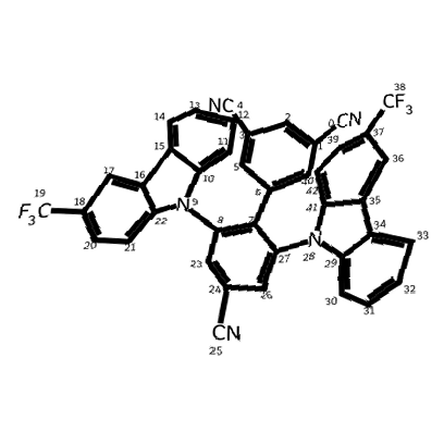 N#Cc1cc(C#N)cc(-c2c(-n3c4ccccc4c4cc(C(F)(F)F)ccc43)cc(C#N)cc2-n2c3ccccc3c3cc(C(F)(F)F)ccc32)c1